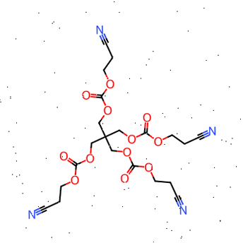 N#CCCOC(=O)OCC(COC(=O)OCCC#N)(COC(=O)OCCC#N)COC(=O)OCCC#N